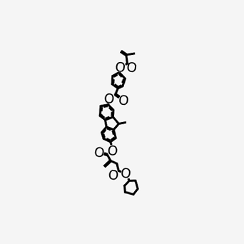 C=C(C)C(=O)Oc1ccc(C(=O)Oc2ccc3c(c2)C(C)c2cc(OC(=O)C(=C)CC(=O)OC4CCCCC4)ccc2-3)cc1